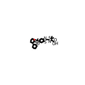 CC1(C)SC(c2nc3ccc(O[Si](c4ccccc4)(c4ccccc4)C(C)(C)C)cc3s2)=NC1C(=O)O